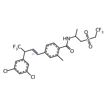 Cc1cc(/C=C/C(c2cc(Cl)cc(Cl)c2)C(F)(F)F)ccc1C(=O)NC(C)CS(=O)(=O)CC(F)(F)F